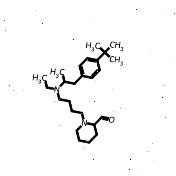 CCN(CCCCN1CCCCC1C=O)C(C)Cc1ccc(C(C)(C)C)cc1